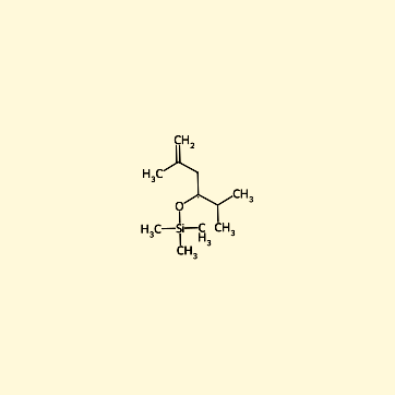 C=C(C)C[C](O[Si](C)(C)C)C(C)C